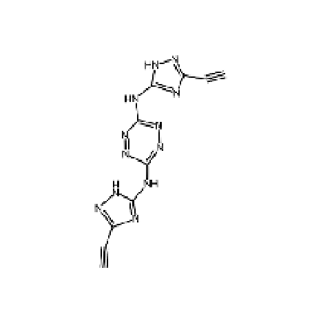 C#Cc1n[nH]c(Nc2nnc(Nc3nc(C#C)n[nH]3)nn2)n1